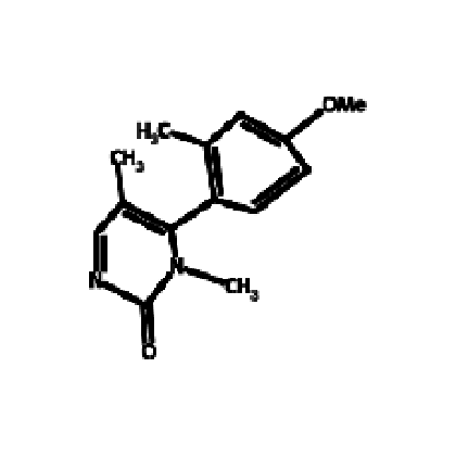 COc1ccc(-c2c(C)cnc(=O)n2C)c(C)c1